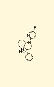 O[C@@]1(c2ccccc2)CCN(c2ccc(F)cn2)C2CCCC[C@H]21